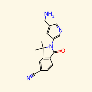 CC1(C)c2cc(C#N)ccc2C(=O)N1c1cncc(CN)c1